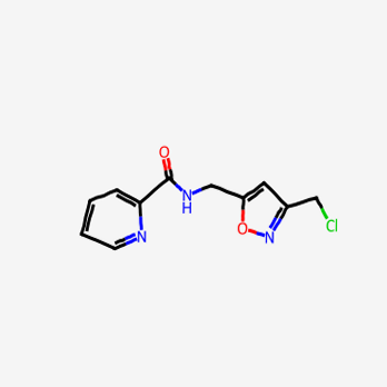 O=C(NCc1cc(CCl)no1)c1ccccn1